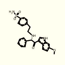 COc1ccc2c(C(=O)[C@@H](NCCc3ccc(S(N)(=O)=O)cc3)c3ccccc3)c[nH]c2c1